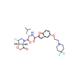 CC(C)C[C@H](NC(=O)c1cc2cc(OCCN3CCC(F)(F)CC3)ccc2o1)C(=O)N1C[C@H](F)[C@H]2OCC(=O)[C@H]21